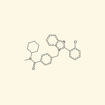 CN(C(=O)c1ccc(Cn2c(-c3ccccc3Cl)nc3ccccc32)cc1)C1CCCCC1